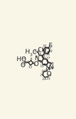 CC(C)c1nc(OC2CC(C(=O)O)C2)c2cc3c(cnn3C3CCCCO3)cc2c1-c1ccc(F)cc1